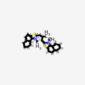 CC(=Cc1sc2ccc3ccccc3c2[n+]1C)C=C1Sc2ccc3ccccc3c2N1C